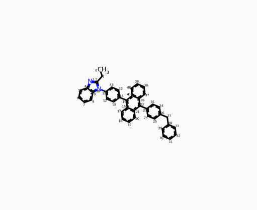 CCc1nc2ccccc2n1-c1ccc(-c2c3ccccc3c(-c3ccc(Cc4ccccc4)cc3)c3ccccc23)cc1